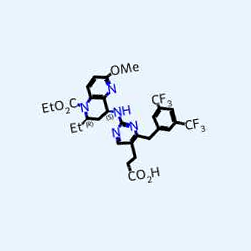 CCOC(=O)N1c2ccc(OC)nc2[C@@H](Nc2ncc(CCC(=O)O)c(Cc3cc(C(F)(F)F)cc(C(F)(F)F)c3)n2)C[C@H]1CC